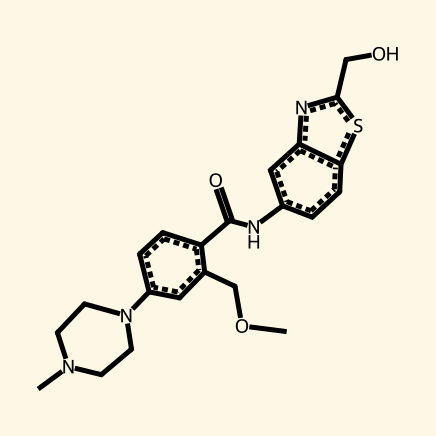 COCc1cc(N2CCN(C)CC2)ccc1C(=O)Nc1ccc2sc(CO)nc2c1